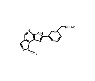 CC(=O)NCc1cccc(-c2cc3c(ncc4cnn(C)c43)[nH]2)c1